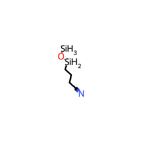 N#CCCC[SiH2]O[SiH3]